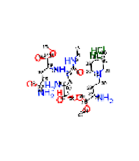 CCNC(=O)CC[C@H](N)C(=O)O.COC(=O)C(N)CCC(N)=O.COC(=O)C(N)CCN1CCCCC1.Cl.Cl